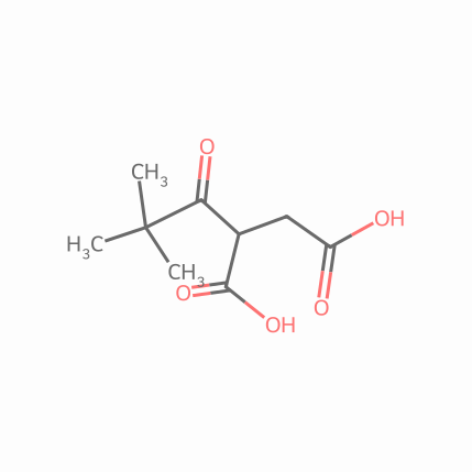 CC(C)(C)C(=O)C(CC(=O)O)C(=O)O